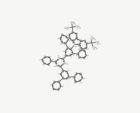 CC(C)(C)c1ccc2c(c1)c1cc(C(C)(C)C)ccc1n2-c1c(-c2ccccc2)cc(-c2nc(-c3ccccc3)nc(-c3cc(-c4ccccc4)cc(-c4ccccc4)c3)n2)cc1-c1ccccc1